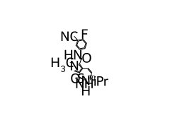 CC(C)[C@@H]1C=Cc2c(cn(C)c2C(=O)Nc2ccc(F)c(C#N)c2)S(=N)(=O)N1